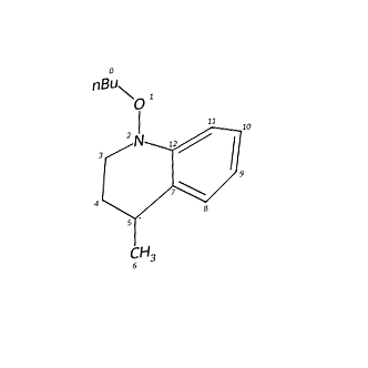 CCCCON1CC[C](C)c2ccccc21